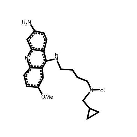 CCN(CCCCNc1c2ccc(N)cc2nc2ccc(OC)cc12)CC1CC1